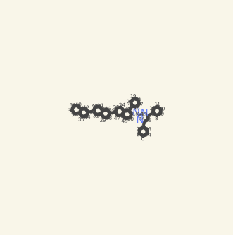 c1ccc(-c2cc(-c3ccccc3)nc(-n3c4ccccc4c4c5ccc(-c6ccc7cc(-c8ccc9ccccc9c8)ccc7c6)cc5ccc43)n2)cc1